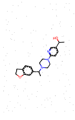 CC(O)c1ccc(N2CCN(C(C)c3ccc4c(c3)OCC4)CC2)nc1